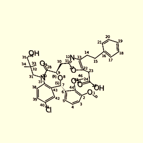 COc1cccc([C@H]2O[C@H](Cc3nc(CCc4ccccc4)c(CC(=O)O)o3)C(=O)N(CC(C)(C)CO)c3ccc(Cl)cc32)c1OC